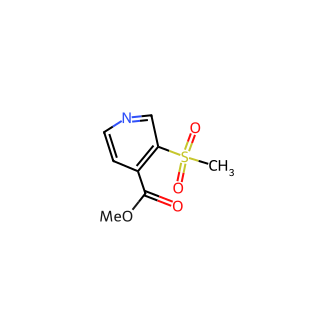 COC(=O)c1ccncc1S(C)(=O)=O